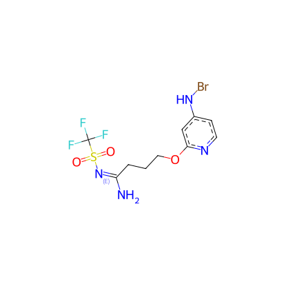 N/C(CCCOc1cc(NBr)ccn1)=N/S(=O)(=O)C(F)(F)F